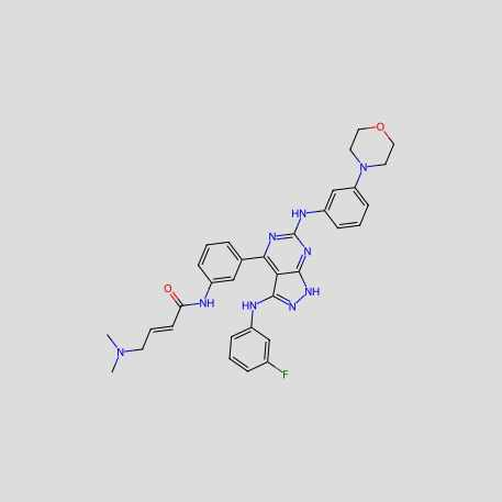 CN(C)C/C=C/C(=O)Nc1cccc(-c2nc(Nc3cccc(N4CCOCC4)c3)nc3[nH]nc(Nc4cccc(F)c4)c23)c1